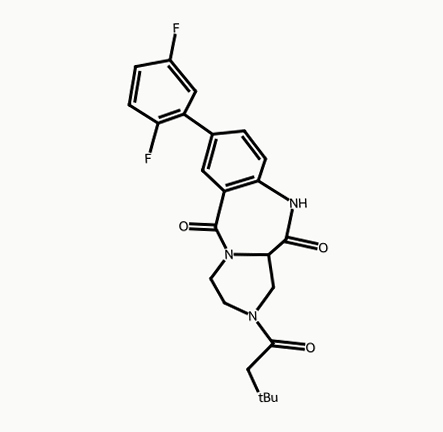 CC(C)(C)CC(=O)N1CCN2C(=O)c3cc(-c4cc(F)ccc4F)ccc3NC(=O)C2C1